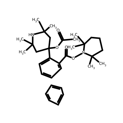 CC(=O)OC1(c2ccccc2C(=O)ON2C(C)(C)CCCC2(C)C)CC(C)(C)NC(C)(C)C1.c1ccccc1